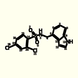 O=S(=O)(NCc1cccc2[nH]ccc12)c1ccc(Cl)cc1Cl